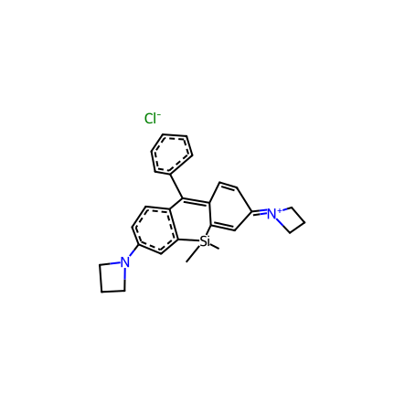 C[Si]1(C)C2=CC(=[N+]3CCC3)C=CC2=C(c2ccccc2)c2ccc(N3CCC3)cc21.[Cl-]